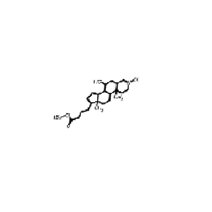 CCN1CCC2(C)C(CC(O)C3C4CCC(CCCC(=O)OC(C)(C)C)C4(C)CCC32)C1